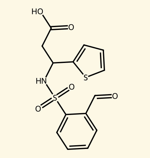 O=Cc1ccccc1S(=O)(=O)NC(CC(=O)O)c1cccs1